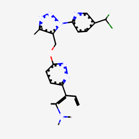 C=C/C(=C(/C)N(C)C(C)C)c1ccc(OCc2c(C)nnn2-c2ccc(C(F)F)cn2)nn1